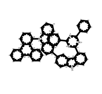 c1ccc(-c2nc(-c3ccccc3)nc(-c3cccc4oc5ccc(-c6ccc7c(c6)c6ccccc6n7-c6cccc7c8ccccc8c8ccccc8c67)cc5c34)n2)cc1